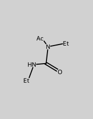 CCNC(=O)N(CC)C(C)=O